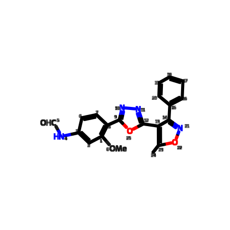 COc1cc(NC=O)ccc1-c1nnc(-c2c(-c3ccccc3)noc2C)o1